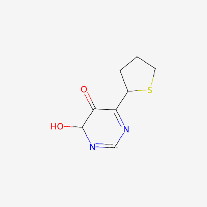 O=C1C(C2CCCS2)=N[C]=NC1O